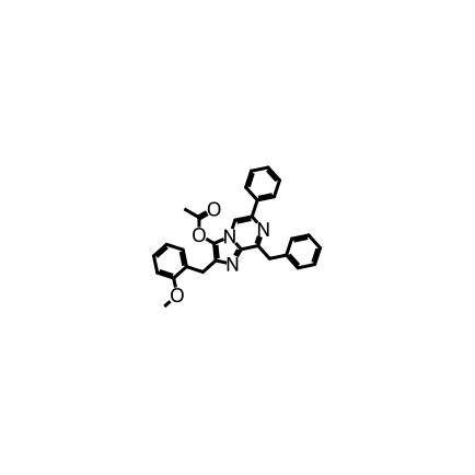 COc1ccccc1Cc1nc2c(Cc3ccccc3)nc(-c3ccccc3)cn2c1OC(C)=O